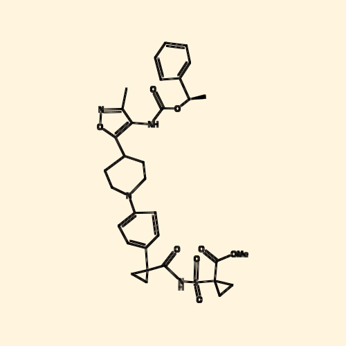 COC(=O)C1(S(=O)(=O)NC(=O)C2(c3ccc(N4CCC(c5onc(C)c5NC(=O)O[C@H](C)c5ccccc5)CC4)cc3)CC2)CC1